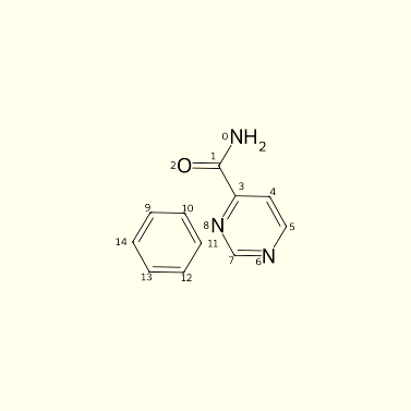 NC(=O)c1ccncn1.c1ccccc1